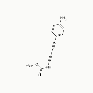 CC(C)(C)OC(=O)NC#CC#Cc1ccc(N)cc1